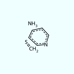 C=S.N.c1ccncc1